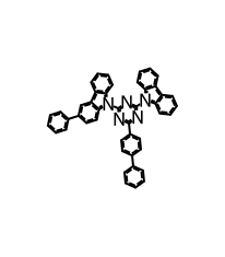 c1ccc(-c2ccc(-c3nc(-n4c5ccccc5c5ccccc54)nc(-n4c5ccccc5c5cc(-c6ccccc6)ccc54)n3)cc2)cc1